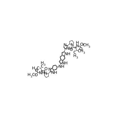 COC(=O)N[C@H](C(=O)N1CCCC1c1nc2ccc(Nc3cc4cc5cc(-c6cnc(C7CCCN7C(=O)[C@H](NC(=O)OC)C(C)C)[nH]6)[nH]c5cc4[nH]3)cc2[nH]1)C(C)C